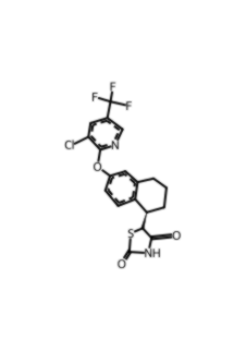 O=C1NC(=O)C([C@@H]2CCCc3cc(Oc4ncc(C(F)(F)F)cc4Cl)ccc32)S1